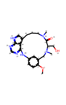 COc1ccc2cc1CN(C)C(CO)C(=O)N(C)CCCc1c[nH]c3ncnc(c13)N2